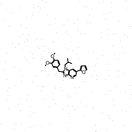 COc1ccc(Cc2nc3ncc(-c4ccco4)cc3n2CC(C)C)cc1OC